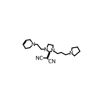 N#CC(C#N)=C1N(CCCN2CCCC2)CCN1CCN1CC=CCC1